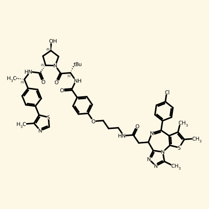 Cc1ncsc1-c1ccc([C@H](C)NC(=O)[C@@H]2C[C@@H](O)CN2C(=O)[C@@H](NC(=O)c2ccc(OCCCNC(=O)CC3N=C(c4ccc(Cl)cc4)c4c(sc(C)c4C)-n4c(C)nnc43)cc2)C(C)(C)C)cc1